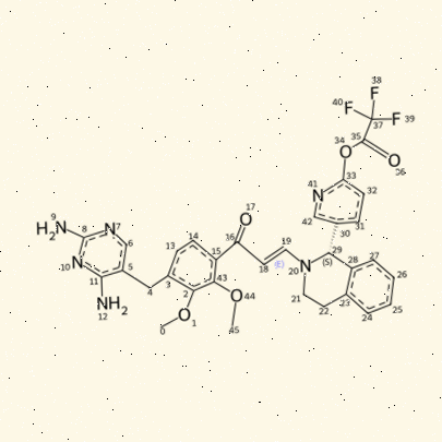 COc1c(Cc2cnc(N)nc2N)ccc(C(=O)/C=C/N2CCc3ccccc3[C@H]2c2ccc(OC(=O)C(F)(F)F)nc2)c1OC